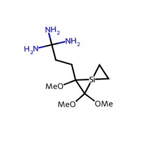 COC1(CCC(N)(N)N)C(OC)(OC)[Si]12CC2